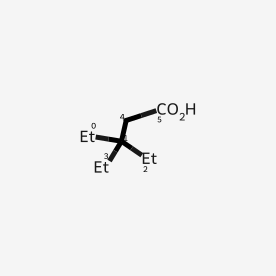 CCC(CC)(CC)CC(=O)O